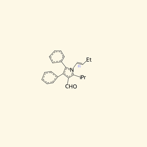 CC/C=C/n1c(-c2ccccc2)c(-c2ccccc2)c(C=O)c1C(C)C